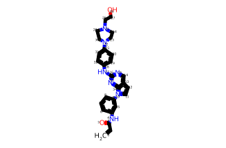 C=CC(=O)Nc1cccc(-n2ccc3cnc(Nc4ccc(N5CCN(CCO)CC5)cc4)nc32)c1